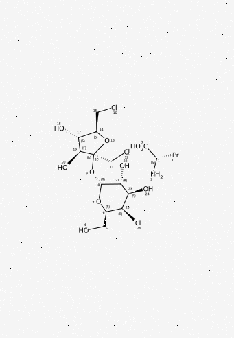 CC(C)[C@H](N)C(=O)O.OC[C@H]1O[C@H](O[C@]2(CCl)O[C@H](CCl)[C@@H](O)[C@@H]2O)[C@H](O)[C@@H](O)[C@H]1Cl